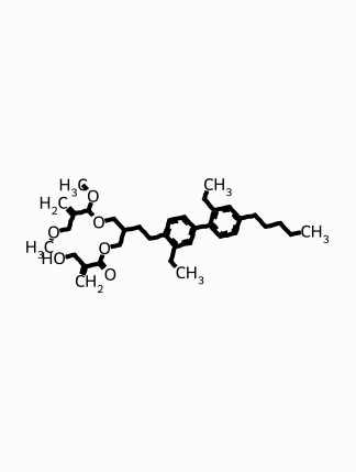 C=C(CO)C(=O)OCC(CCc1ccc(-c2ccc(CCCCC)cc2CC)cc1CC)COC(OC)C(=C)COC